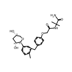 Cc1ccc([C@@H]2OC[C@@H](O)C[C@H]2O)cc1Cc1ccc(OCC(=O)NC(C)(C)C(N)=O)cc1